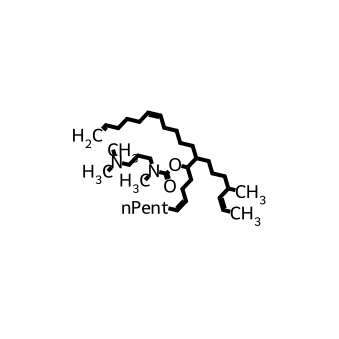 C=CCCC/C=C\CCCCC(CCCC(C)/C=C\C)C(CC/C=C\CCCCC)OC(=O)N(C)CCCN(C)C